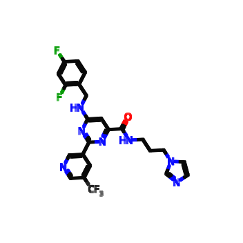 O=C(NCCCn1ccnc1)c1cc(NCc2ccc(F)cc2F)nc(-c2cncc(C(F)(F)F)c2)n1